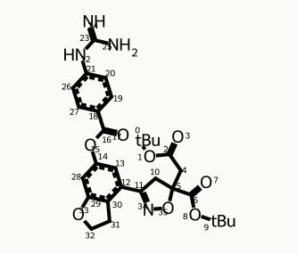 CC(C)(C)OC(=O)CC1(C(=O)OC(C)(C)C)CC(c2cc(OC(=O)c3ccc(NC(=N)N)cc3)cc3c2CCO3)=NO1